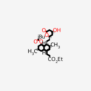 CCOC(=O)CCC1=C[C@@H](C)[C@H](CC[C@@H]2C[C@@H](O)CC(=O)O2)[C@H]2[C@@H](OC(=O)C(C)CC)C[C@@H](C)C[C@H]12